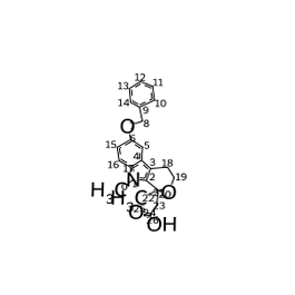 Cn1c2c(c3cc(OCc4ccccc4)ccc31)CCOC2(C)CC(=O)O